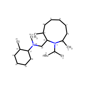 CCCCC(CC)N1C(C)CCCCCC(C)C1CN(CC)C1CCCCC1CC